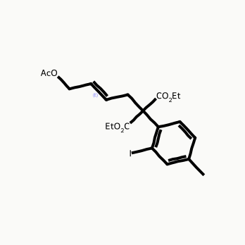 CCOC(=O)C(C/C=C/COC(C)=O)(C(=O)OCC)c1ccc(C)cc1I